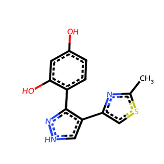 Cc1nc(-c2c[nH]nc2-c2ccc(O)cc2O)cs1